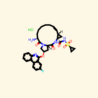 Cl.N[C@H]1CCCCCC=C[C@@H]2C[C@@]2(C(=O)NS(=O)(=O)C2CC2)NC(=O)[C@@H]2C[C@@H](Oc3nc4ccccc4c4ccc(F)cc34)CN2C1=O